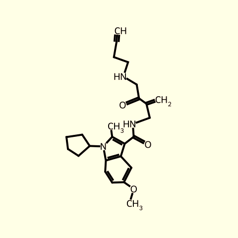 C#CCCNCC(=O)C(=C)CNC(=O)c1c(C)n(C2CCCC2)c2ccc(OC)cc12